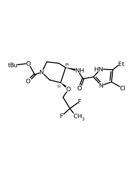 CCc1[nH]c(C(=O)N[C@@H]2CCN(C(=O)OC(C)(C)C)C[C@@H]2OCC(C)(F)F)nc1Cl